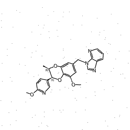 COc1ccc([C@@H]2Oc3c(OC)cc(Cn4cnc5cccnc54)cc3O[C@@H]2C)cn1